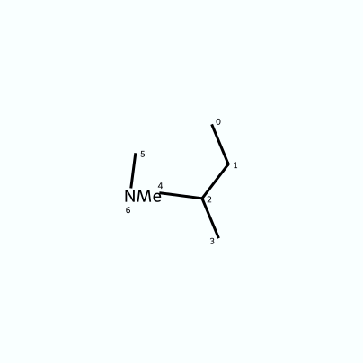 CCC(C)C.CNC